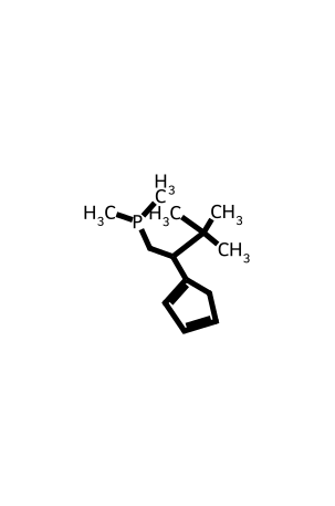 CP(C)CC(C1=CC=CC1)C(C)(C)C